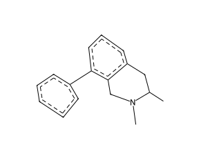 CC1Cc2cccc(-c3ccccc3)c2CN1C